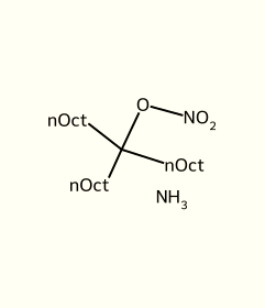 CCCCCCCCC(CCCCCCCC)(CCCCCCCC)O[N+](=O)[O-].N